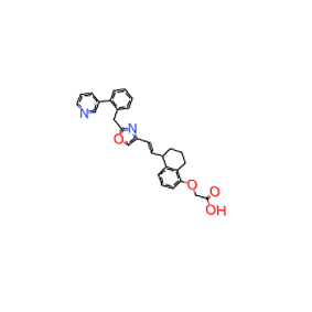 O=C(O)COc1cccc2c1CCCC2C=Cc1coc(Cc2ccccc2-c2cccnc2)n1